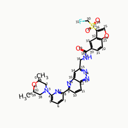 C[C@@H]1CN(c2cccc(-c3ccc4nnc(CNC(=O)c5ccc6occ(S(=O)(=O)CF)c6c5)cc4n3)n2)C[C@H](C)O1